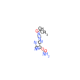 C=C(C)C(=O)N1CCN(c2ccc(-c3cc(OCC(N)=O)cn4ncc(C#N)c34)cn2)CC1